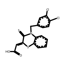 O=C(O)/C=C1\Sc2ccccc2N(Cc2ccc(Cl)c(Cl)c2)C1=S